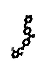 O=C(C1CCN(Cc2ccnnc2)CC1)N1CCC(OCc2c(F)cccc2F)CC1